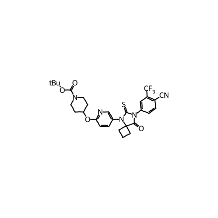 CC(C)(C)OC(=O)N1CCC(Oc2ccc(N3C(=S)N(c4ccc(C#N)c(C(F)(F)F)c4)C(=O)C34CCC4)cn2)CC1